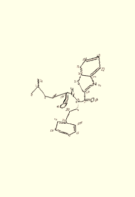 CC(C)CCC(=O)N[C@@H](CCc1ccccc1)C(=O)c1nc2ccccc2s1